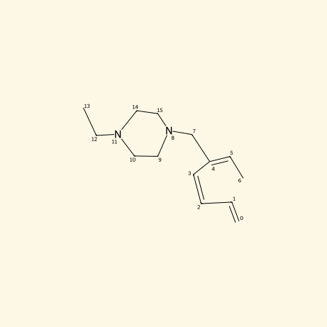 C=C/C=C\C(=C/C)CN1CCN(CC)CC1